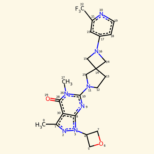 Cc1nn(C2COC2)c2nc(N3CCC4(CN(c5ccnc(C(F)(F)F)c5)C4)C3)n(C)c(=O)c12